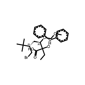 CCC(O[SiH](c1ccccc1)c1ccccc1)(C(=O)O)[C@@H](C[C@H](CBr)C(C)(C)C)OCOC